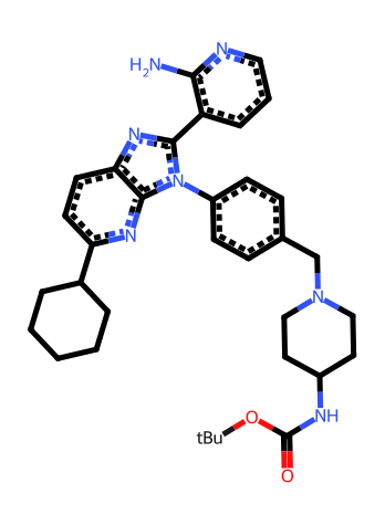 CC(C)(C)OC(=O)NC1CCN(Cc2ccc(-n3c(-c4cccnc4N)nc4ccc(C5CCCCC5)nc43)cc2)CC1